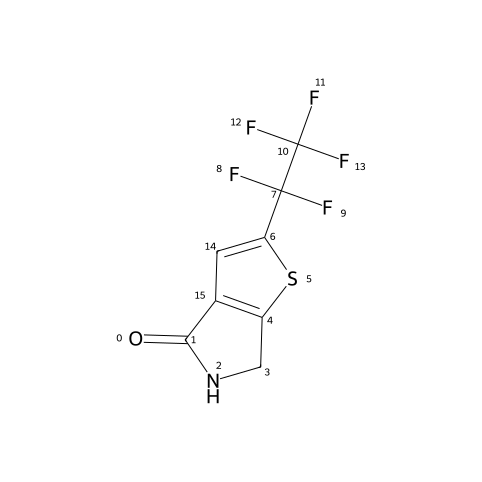 O=C1NCc2sc(C(F)(F)C(F)(F)F)cc21